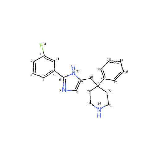 Fc1cccc(-c2ncc(CC3(c4ccccc4)CCNCC3)[nH]2)c1